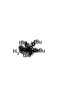 CC(C)(C)c1ccc(-c2cc3c4c(c2)N(c2ccc(C(C)(C)C)cc2)c2c(sc5cc6c(cc25)-c2ccccc2C6(C)C)B4c2cc(C(C)(C)C)ccc2N3c2ccc(C(C)(C)C)cc2)cc1